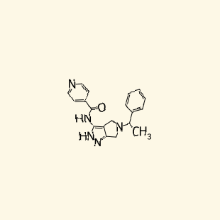 CC(c1ccccc1)N1Cc2n[nH]c(NC(=O)c3ccncc3)c2C1